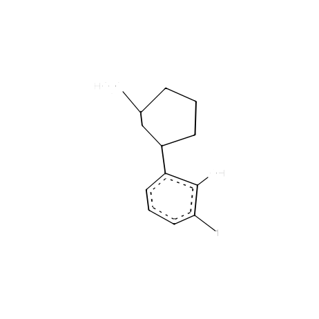 O=C(O)C1CCCC(c2cccc(I)c2O)C1